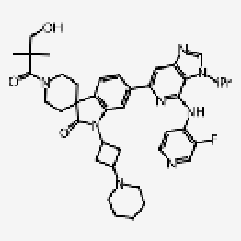 CC(C)n1cnc2cc(-c3ccc4c(c3)N(C3CC(N5CCCCC5)C3)C(=O)C43CCN(C(=O)C(C)(C)CO)CC3)nc(Nc3ccncc3F)c21